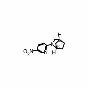 O=[N+]([O-])c1ccc(N2C[C@H]3CC[C@@H]2C3)nc1